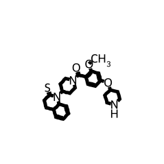 COc1cc(OC2CCNCC2)ccc1C(=O)N1CCC(N2C(=S)CCC3C=CC=CC32)CC1